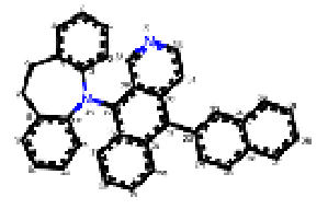 c1ccc2c(c1)CCc1ccccc1N2c1c2ccccc2c(-c2ccc3ccccc3c2)c2ccncc12